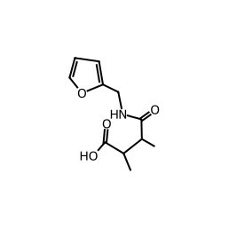 CC(C(=O)O)C(C)C(=O)NCc1ccco1